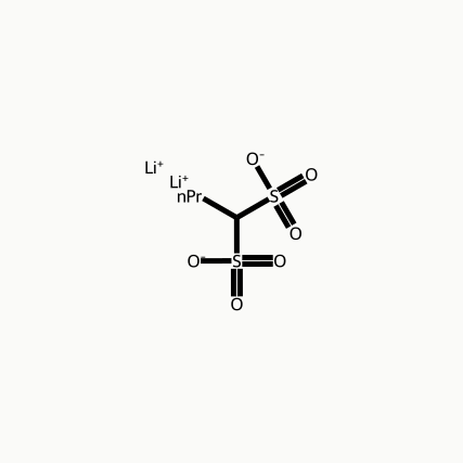 CCCC(S(=O)(=O)[O-])S(=O)(=O)[O-].[Li+].[Li+]